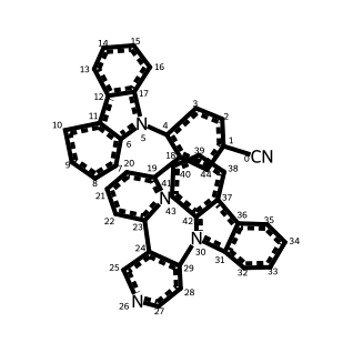 N#Cc1ccc(-n2c3ccccc3c3ccccc32)c(-c2cccc(-c3cnccc3-n3c4ccccc4c4ccccc43)n2)c1